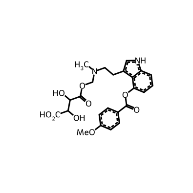 COc1ccc(C(=O)Oc2cccc3[nH]cc(CCN(C)COC(=O)C(O)C(O)C(=O)O)c23)cc1